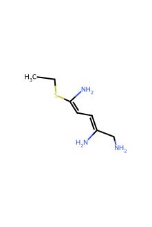 CCS/C(N)=C/C=C(\N)CN